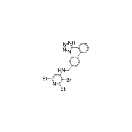 CCc1cc(NCc2ccc(-c3ccccc3-c3nnn[nH]3)cc2)c(Br)c(CC)n1